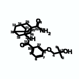 CC(C)(O)COc1cccc(C(=O)NC23CC4CC(C2)CC(C(N)=O)(C4)C3)c1